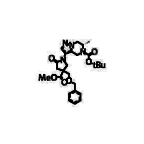 COC(=O)C1(COCc2ccccc2)CC(=O)N(c2cnn3c2CN(C(=O)OC(C)(C)C)[C@@H](C)C3)C1